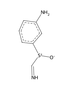 N=C[S+]([O-])c1cccc(N)c1